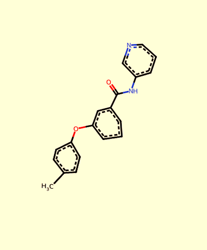 Cc1ccc(Oc2cccc(C(=O)Nc3cccnc3)c2)cc1